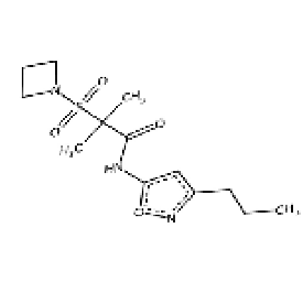 CCCc1cc(NC(=O)C(C)(C)S(=O)(=O)N2CCC2)on1